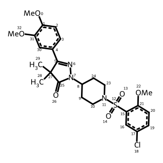 COc1ccc(C2=NN(C3CCN(S(=O)(=O)c4cc(Cl)ccc4OC)CC3)C(=O)C2(C)C)cc1OC